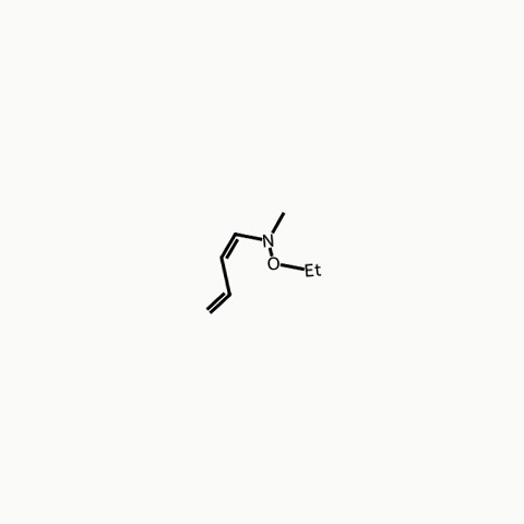 C=C/C=C\N(C)OCC